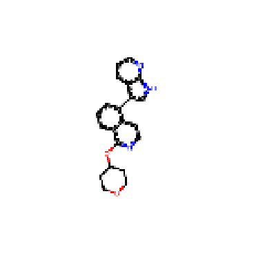 c1cnc2[nH]cc(-c3cccc4c(OC5CCOCC5)nccc34)c2c1